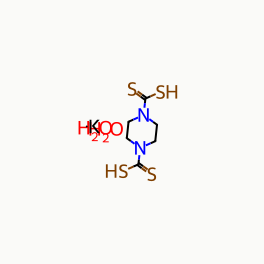 O.O.S=C(S)N1CCN(C(=S)S)CC1.[K]